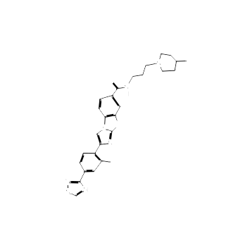 O=C(NCCCN1CCC(F)CC1)c1ccc2c(c1)sc1nc(-c3ccc(-c4nc[nH]n4)cc3F)cn12